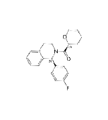 O=C([C@@H]1CCC=CO1)N1CCc2ccccc2[C@@H]1c1ccc(F)cc1